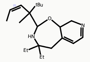 C/C=C\C(C)(C1NC(CC)(CC)CC2=CC=NCC2O1)C(C)(C)C